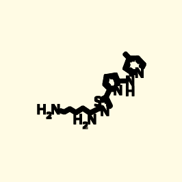 Cc1ccnc(Nc2cccc(-c3cnc([C@@H](N)CCCCN)s3)n2)c1